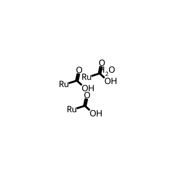 O.O=[C](O)[Ru].O=[C](O)[Ru].O=[C](O)[Ru]